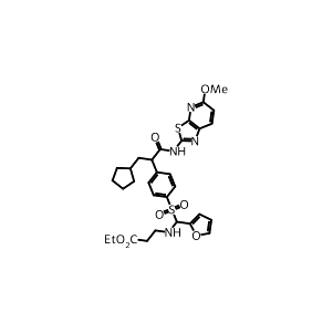 CCOC(=O)CCNC(c1ccco1)S(=O)(=O)c1ccc(C(CC2CCCC2)C(=O)Nc2nc3ccc(OC)nc3s2)cc1